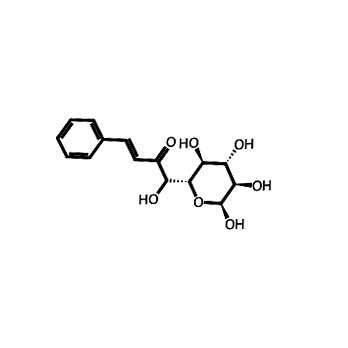 O=C(/C=C/c1ccccc1)C(O)[C@H]1O[C@H](O)[C@H](O)[C@@H](O)[C@@H]1O